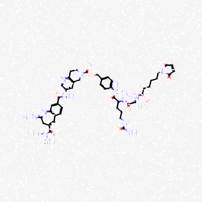 CCCN(CCC)C(=O)C1=Cc2ccc(C(=O)Nc3cnc4c(c3)CN(C(=O)OCc3ccc(NC(=O)C(CCCNC(N)=O)NC(=O)[C@@H](NC(=O)CCCCCN5C(=O)C=CC5=O)C(C)C)cc3)CC4)cc2N=C(N)C1